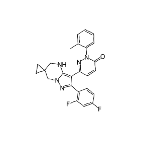 Cc1ccccc1-n1nc(-c2c(-c3ccc(F)cc3F)nn3c2NCC2(CC2)C3)ccc1=O